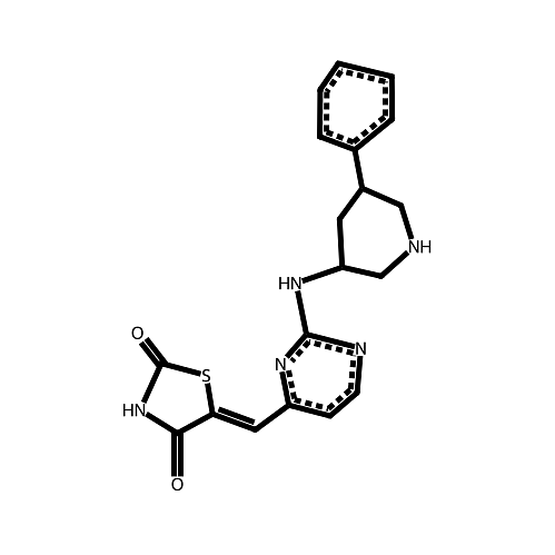 O=C1NC(=O)C(=Cc2ccnc(NC3CNCC(c4ccccc4)C3)n2)S1